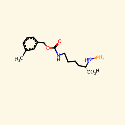 Cc1cccc(COC(=O)NCCCC[C@H](NP)C(=O)O)c1